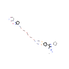 CCCCNc1ncc2c(-c3ccc(S(=O)(=O)N4CCN(CCOCCOCCOCCOCCNc5cccc6c5n(C)c(=O)n6C5CCC(=O)NC5=O)CC4)cc3)cn([C@H]3CC[C@H](O)CC3)c2n1